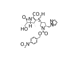 C[C@@H](O)[C@H]1C(=O)N2C(C(=O)O)=C(S[C@H]3C[C@@H](Cn4cccn4)N(C(=O)OCc4ccc([N+](=O)[O-])cc4)C3)[C@H](C)[C@H]12